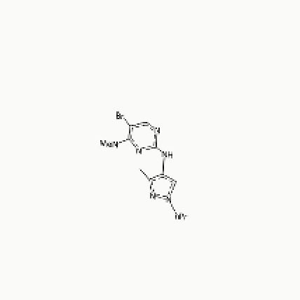 CCCn1cc(Nc2ncc(Br)c(NC)n2)c(C)n1